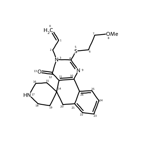 C=CCn1c(SCCOC)nc2c(c1=O)C1(CCNCC1)Cc1ccccc1-2